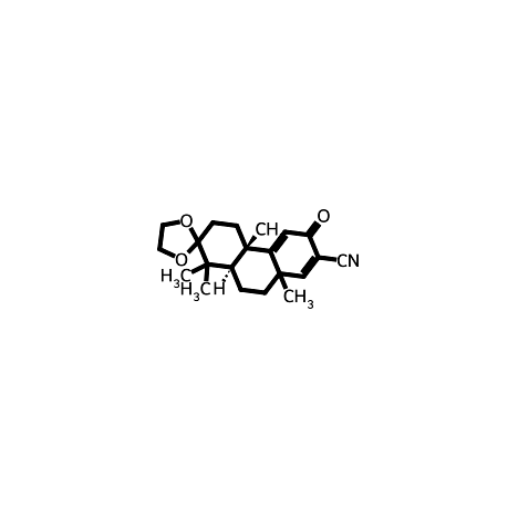 CC12C=C(C#N)C(=O)C=C1[C@@]1(C)CCC3(OCCO3)C(C)(C)[C@@H]1CC2